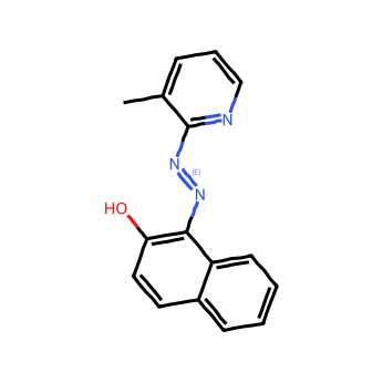 Cc1cccnc1/N=N/c1c(O)ccc2ccccc12